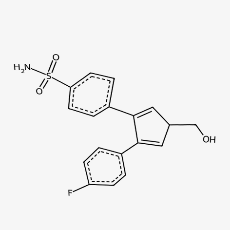 NS(=O)(=O)c1ccc(C2=CC(CO)C=C2c2ccc(F)cc2)cc1